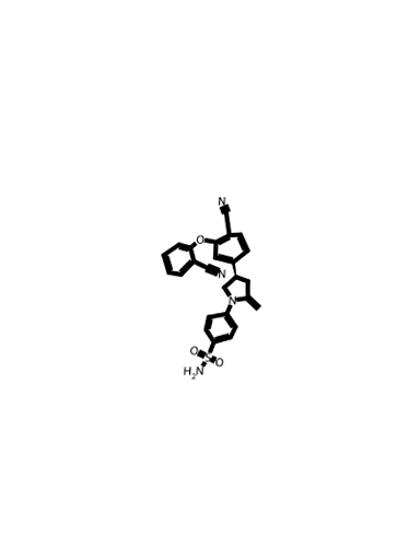 C=C1C[C@H](c2ccc(C#N)c(Oc3ccccc3C#N)c2)CN1c1ccc(S(N)(=O)=O)cc1